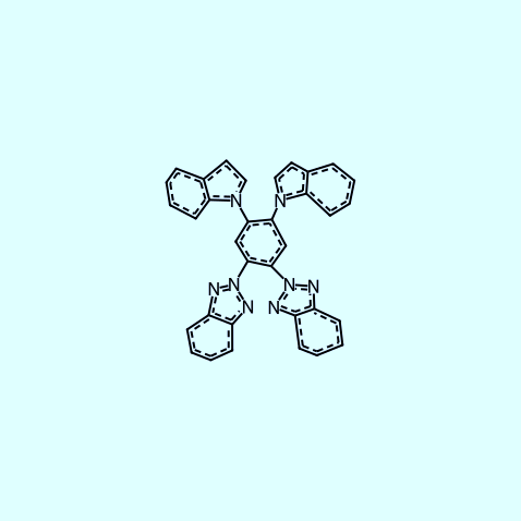 c1ccc2c(c1)ccn2-c1cc(-n2nc3ccccc3n2)c(-n2nc3ccccc3n2)cc1-n1ccc2ccccc21